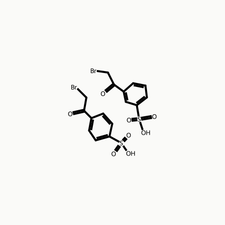 O=C(CBr)c1ccc(S(=O)(=O)O)cc1.O=C(CBr)c1cccc(S(=O)(=O)O)c1